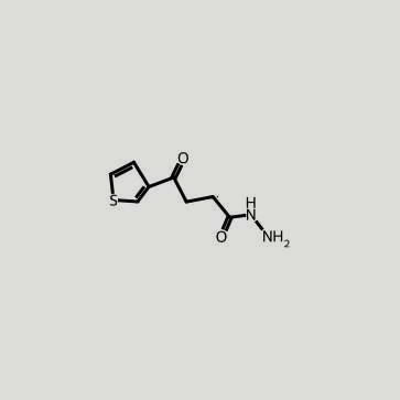 NNC(=O)[CH]CC(=O)c1ccsc1